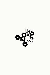 COc1ccccc1C(=O)NC(c1ccccc1)C1CCC(NS(=O)(=O)N2CCCC2CO)CC1